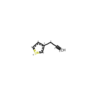 C#CCc1[c]cs[c]1